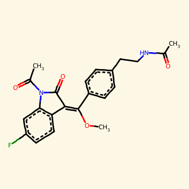 COC(=C1C(=O)N(C(C)=O)c2cc(F)ccc21)c1ccc(CCNC(C)=O)cc1